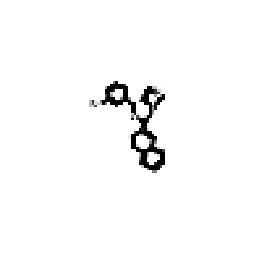 Brc1cccc(COC(Cn2ccnc2)c2ccc3ccccc3c2)c1